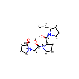 O=C[C@@H]1CCCN1C(=O)[C@@H]1CCCN1C(=O)CN1CCCC1=O